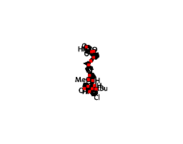 COc1cc(N2CCC([C@@H]3C[C@@H]3C#Cc3cccc4c3CN(C3CCC(=O)NC3=O)C4=O)CC2)ccc1NC(=O)[C@@H]1N[C@@H](CC(C)(C)C)[C@@]2(CNc3cc(Cl)ccc32)[C@H]1c1cccc(Cl)c1F